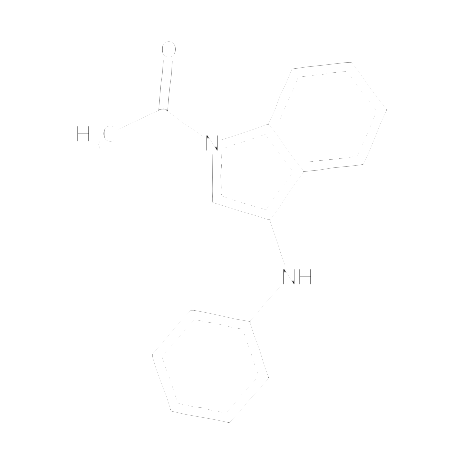 CC(=O)n1cc(Nc2ccccc2)c2ccccc21